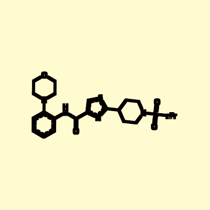 CCCS(=O)(=O)N1CCC(c2nc(C(=O)Nc3ccccc3N3CCOCC3)cs2)CC1